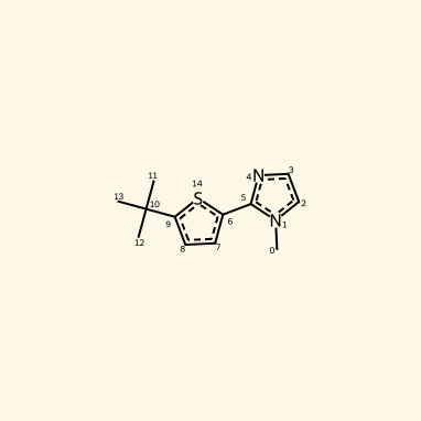 Cn1ccnc1-c1ccc(C(C)(C)C)s1